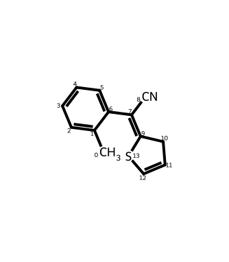 Cc1ccccc1C(C#N)=C1CC=CS1